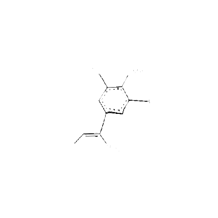 COc1c(F)cc(/C(N)=C/S)cc1Cl